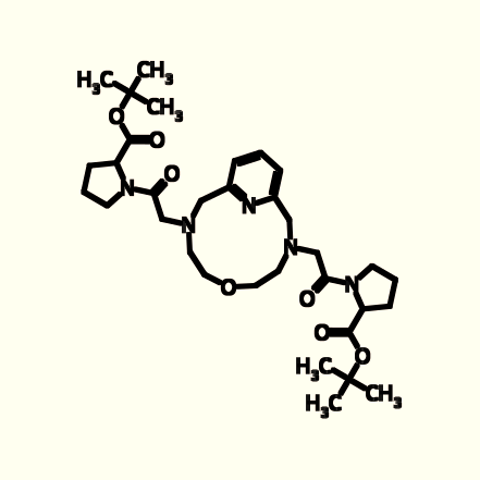 CC(C)(C)OC(=O)C1CCCN1C(=O)CN1CCOCCN(CC(=O)N2CCCC2C(=O)OC(C)(C)C)Cc2cccc(n2)C1